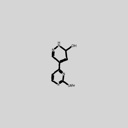 CSc1nccc(C2=CC(O)NN=C2)n1